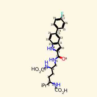 CC(C)C(CCC(CNC(=O)c1cc2cc(-c3ccc(F)cc3)ccc2[nH]1)NC(=O)O)NC(=O)O